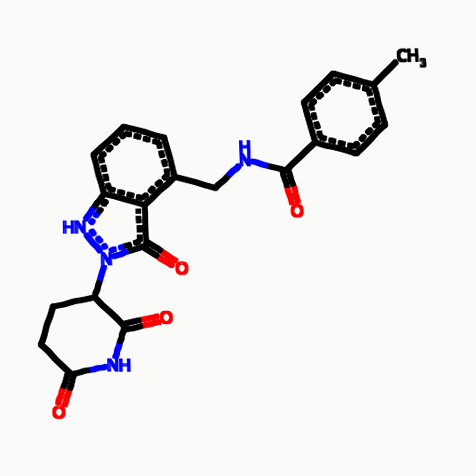 Cc1ccc(C(=O)NCc2cccc3[nH]n(C4CCC(=O)NC4=O)c(=O)c23)cc1